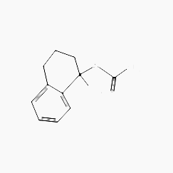 CC(=O)NC1(C)CCCc2ccccc21